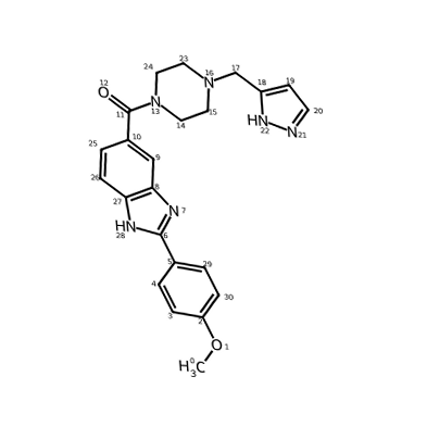 COc1ccc(-c2nc3cc(C(=O)N4CCN(Cc5ccn[nH]5)CC4)ccc3[nH]2)cc1